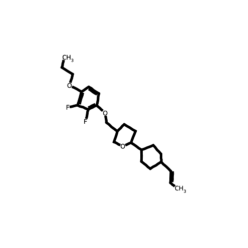 C/C=C/C1CCC(C2CCC(COc3ccc(OCCC)c(F)c3F)CO2)CC1